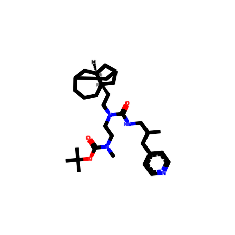 CC(CNC(=O)N(CCN(C)C(=O)OC(C)(C)C)CC[C@@]12CCCC3CC(C[C@@H]1C3)C2)Cc1ccncc1